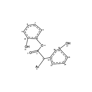 CC(=O)C(C(=O)Oc1ccccc1O)c1cccc(O)c1